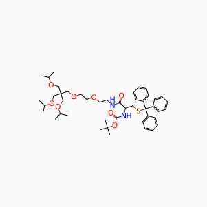 CC(C)OCC(COCCOCCNC(=O)C(CSC(c1ccccc1)(c1ccccc1)c1ccccc1)NC(=O)OC(C)(C)C)(COC(C)C)COC(C)C